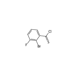 Fc1cccc(C(=S)Cl)c1Br